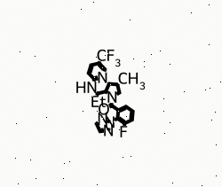 CCC(Nc1ccc(C(F)(F)F)cn1)C1CC(C)CN1C(=O)c1cccc(F)c1-n1nccn1